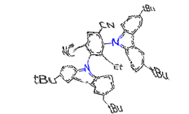 CCc1c(-n2c3ccc(C(C)(C)C)cc3c3cc(C(C)(C)C)ccc32)c(C#N)cc(C#N)c1-n1c2ccc(C(C)(C)C)cc2c2cc(C(C)(C)C)ccc21